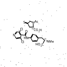 CC(=O)N1CC(=S)C[C@H]1C(=O)O.CN[C@@H](Cc1ccc(NC(=O)c2c(Cl)cncc2Cl)cc1)C(=O)O